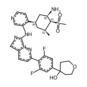 C[C@H]1C[C@@H](c2ccncc2Nc2ncc3ccc(-c4c(F)cc(C5(O)CCOCC5)cc4F)nn23)C[C@@H](N)[C@H]1S(C)(=O)=O